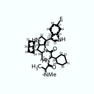 CNC(C)C(=O)NC(C(=O)N1C2=C(c3c[nH]c4cc(F)ccc34)CNC2CC1C(C)=O)C1CCCCC1.c1cc2ccc1-2